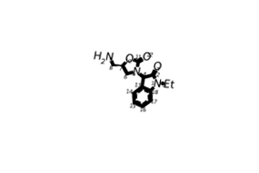 CCN1C(=O)C(N2C[C@@H](CN)OC2=O)c2ccccc21